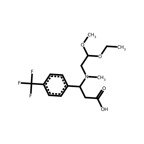 CCOC(CN(C)C(CC(=O)O)c1ccc(C(F)(F)F)cc1)OC